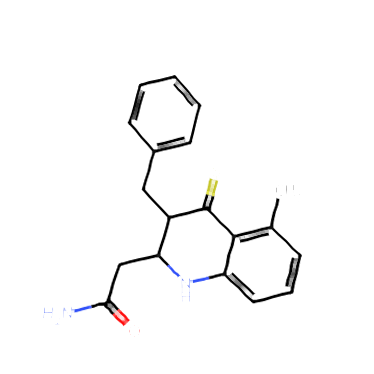 Cc1cccc2c1C(=S)C(Cc1ccccc1)C(CC(N)=O)N2